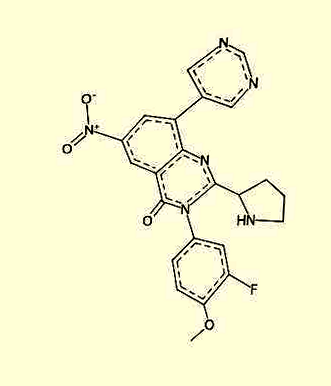 COc1ccc(-n2c(C3CCCN3)nc3c(-c4cncnc4)cc([N+](=O)[O-])cc3c2=O)cc1F